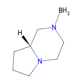 BN1CCN2CCC[C@@H]2C1